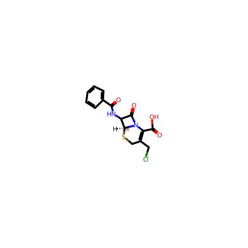 O=C(O)C1=C(CCl)CS[C@H]2C(NC(=O)c3ccccc3)C(=O)N12